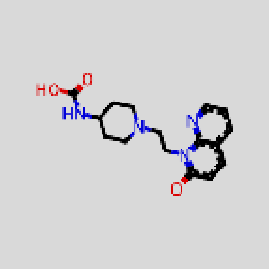 O=C(O)NC1CCN(CCn2c(=O)ccc3cccnc32)CC1